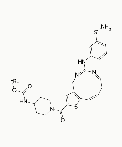 CC(C)(C)OC(=O)NC1CCN(C(=O)c2cc3c(s2)/C=C\C/C=N\C(Nc2cccc(SN)c2)=N/C3)CC1